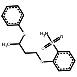 CC(CCNc1ccccc1S(N)(=O)=O)Sc1ccccc1